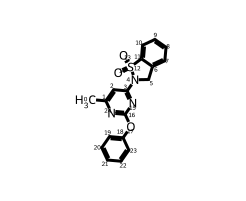 Cc1cc(N2Cc3ccccc3S2(=O)=O)nc(Oc2ccccc2)n1